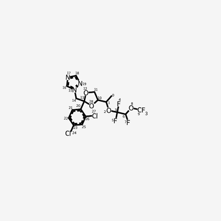 CC(OC(F)(F)C(F)OC(F)(F)F)C1COC(Cn2cncn2)(c2ccc(Cl)cc2Cl)O1